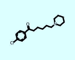 O=C(CCCCCN1CC[CH]CC1)c1ccc(Cl)cc1